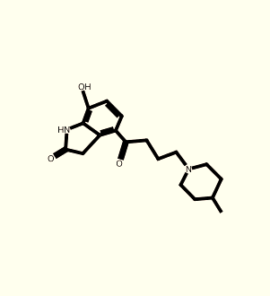 CC1CCN(CCCC(=O)c2ccc(O)c3c2CC(=O)N3)CC1